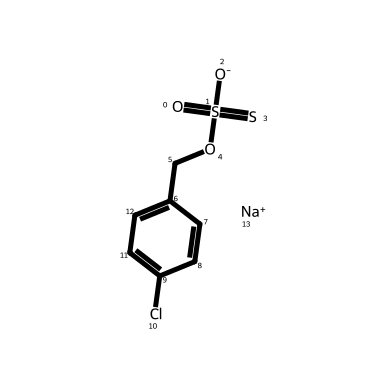 O=S([O-])(=S)OCc1ccc(Cl)cc1.[Na+]